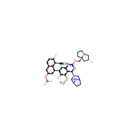 C#Cc1c(F)ccc2cc(OC(F)F)cc(-c3c(F)c(OC)c4c(N5CC6CCC(C5)N6)nc(OC[C@@]56CCCN5C[C@H](F)C6)nc4c3F)c12